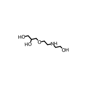 OCCNCCOCC(O)CO